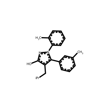 Cc1cccc(-c2c(CC(C)C)c(O)nn2-c2ccccc2C)c1